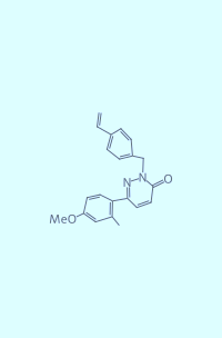 C=Cc1ccc(Cn2nc(-c3ccc(OC)cc3C)ccc2=O)cc1